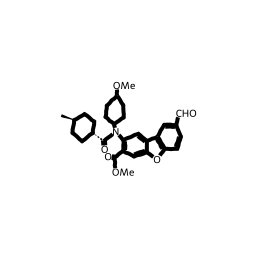 COC(=O)c1cc2oc3ccc(C=O)cc3c2cc1N(C(=O)[C@H]1CC[C@H](C)CC1)C1CCC(OC)CC1